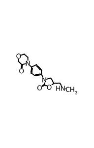 CNCC1CN(c2ccc(N3CCOCC3=O)cc2)C(=O)O1